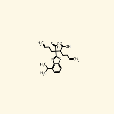 C=CCCC(C(=O)O)C(CCC=C)(C(O)=S)c1nc2c(C(C)C)cccc2s1